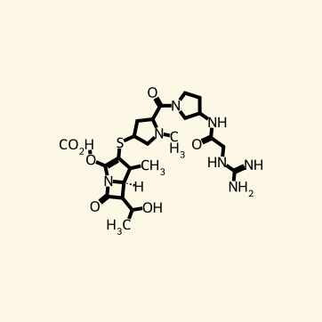 CC(O)C1C(=O)N2C(OC(=O)O)=C(SC3CC(C(=O)N4CCC(NC(=O)CNC(=N)N)C4)N(C)C3)C(C)[C@@H]12